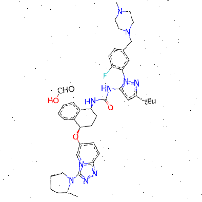 CC1CCCCN1c1nnc2ccc(O[C@@H]3CC[C@H](NC(=O)Nc4cc(C(C)(C)C)nn4-c4cc(CN5CCN(C)CC5)ccc4F)c4ccccc43)cn12.O=CO